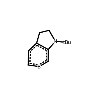 CC(C)(C)N1CCc2ccbcc21